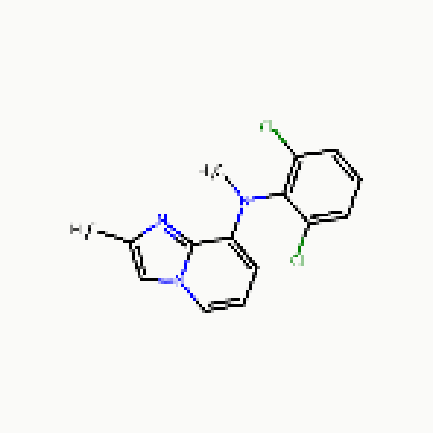 Cc1cn2cccc(N(C)c3c(Cl)cccc3Cl)c2n1